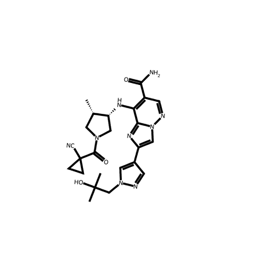 C[C@H]1CN(C(=O)C2(C#N)CC2)C[C@H]1Nc1c(C(N)=O)cnn2cc(-c3cnn(CC(C)(C)O)c3)nc12